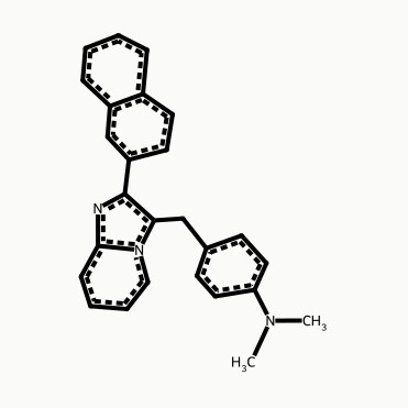 CN(C)c1ccc(Cc2c(-c3ccc4ccccc4c3)nc3ccccn23)cc1